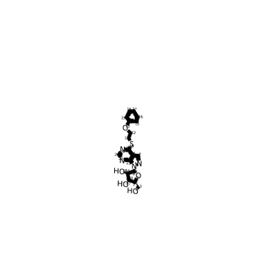 OC[C@H]1O[C@@H](n2ncc3c(SCCOc4ccccc4)ncnc32)[C@H](O)[C@@H]1O